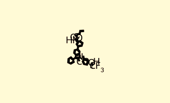 C=CCCS(=O)(=O)Nc1cccc(-c2ccc3c(-c4ccccc4)c(C(=O)O)n(Cc4cccc(OC(F)(F)F)c4)c3c2)c1